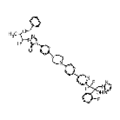 CCC(C(C)OCc1ccccc1)n1ncn(-c2ccc(N3CCN(c4ccc(-c5ccc(C(F)(F)C(O)(Cn6nccn6)c6ccccc6F)nc5)cc4)CC3)cc2)c1=O